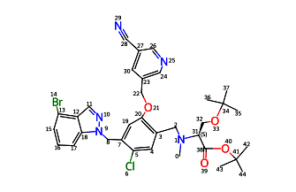 CN(Cc1cc(Cl)c(Cn2ncc3c(Br)cccc32)cc1OCc1cncc(C#N)c1)[C@@H](COC(C)(C)C)C(=O)OC(C)(C)C